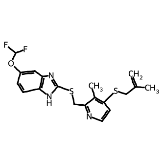 C=C(C)CSc1ccnc(CSc2nc3cc(OC(F)F)ccc3[nH]2)c1C